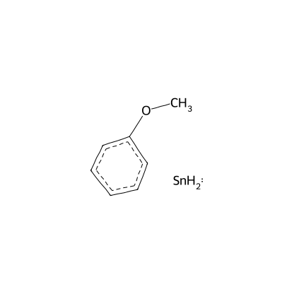 COc1ccccc1.[SnH2]